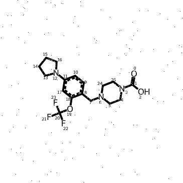 O=C(O)N1CCN(Cc2ccc(N3CCCC3)cc2OC(F)(F)F)CC1